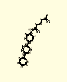 CC(=O)CCCC(=O)Nc1ccc(-c2nnc(-c3ccccn3)nn2)nc1